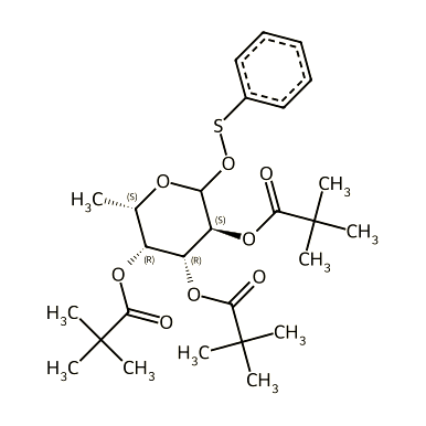 C[C@@H]1OC(OSc2ccccc2)[C@@H](OC(=O)C(C)(C)C)[C@H](OC(=O)C(C)(C)C)[C@@H]1OC(=O)C(C)(C)C